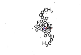 C=Cc1ccc(Oc2ccc(C3(c4ccc(F)cc4)c4ccccc4-c4ccc(/C(=C\c5ccc6c(c5)C5(c7ccccc7-6)c6ccccc6-c6ccc(N(c7cc(F)c(F)c(F)c7)c7ccc8c(c7)C(c7ccc(F)cc7)(c7ccc(Oc9ccc(C=C)cc9)cc7)c7ccccc7-8)cc65)c5cc(F)c(F)c(F)c5)cc43)cc2)cc1